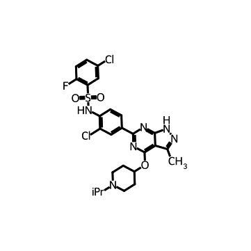 Cc1n[nH]c2nc(-c3ccc(NS(=O)(=O)c4cc(Cl)ccc4F)c(Cl)c3)nc(OC3CCN(C(C)C)CC3)c12